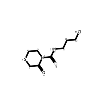 O=C1CSCCN1C(=O)NCCCCl